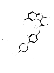 CCC1N=C2C=CC(Cl)=CN2C1C(=O)NCc1ccc(N2CCC(C(F)(F)F)CC2)cc1